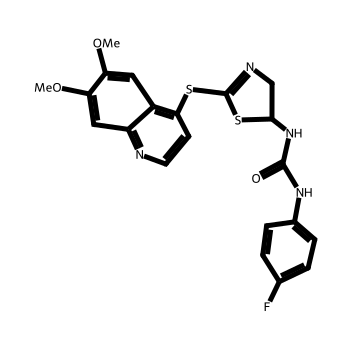 COc1cc2nccc(SC3=NCC(NC(=O)Nc4ccc(F)cc4)S3)c2cc1OC